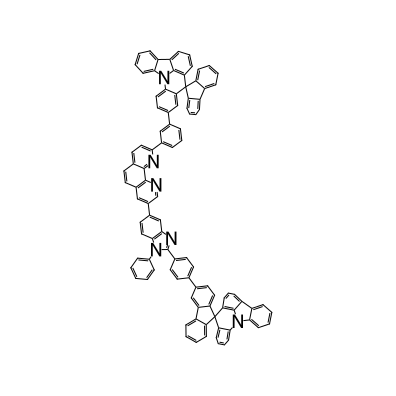 c1ccc(-n2c(-c3ccc(-c4ccc5c(c4)-c4ccccc4C54c5ccccc5-n5c6ccccc6c6cccc4c65)cc3)nc3cc(-c4cnc5c(ccc6ccc(-c7cccc(-c8ccc9c(c8)C8(c%10ccccc%10-c%10ccccc%108)c8cccc%10c%11ccccc%11n-9c8%10)c7)nc65)c4)ccc32)cc1